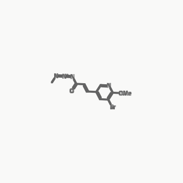 CN=[N+]=NC(=O)/C=C/c1cnc(OC)c(Br)c1